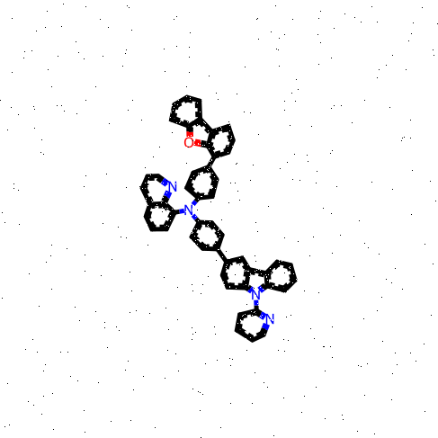 c1ccc(-n2c3ccccc3c3cc(-c4ccc(N(c5ccc(-c6cccc7c6oc6ccccc67)cc5)c5cccc6cccnc56)cc4)ccc32)nc1